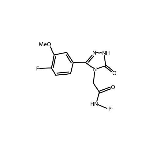 COc1cc(-c2n[nH]c(=O)n2CC(=O)NC(C)C)ccc1F